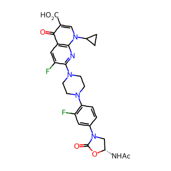 CC(=O)N[C@H]1CN(c2ccc(N3CCN(c4nc5c(cc4F)c(=O)c(C(=O)O)cn5C4CC4)CC3)c(F)c2)C(=O)O1